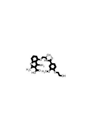 COc1cc(C(=O)N[C@@H](C)COc2cccc3nc(C)c(C(=O)O)c(N)c23)ccc1OCCO